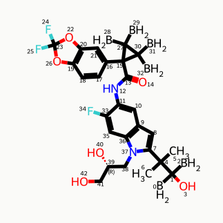 BC(B)(O)C(C)(C)c1cc2cc(NC(=O)C3(c4ccc5c(c4)OC(F)(F)O5)C(B)(B)C3(B)B)c(F)cc2n1C[C@@H](O)CO